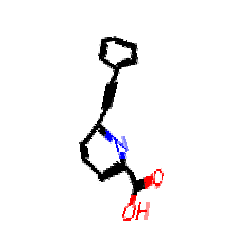 O=C(O)c1cccc(C#Cc2ccccc2)n1